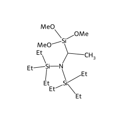 CC[Si](CC)(CC)N(C(C)[Si](OC)(OC)OC)[Si](CC)(CC)CC